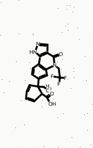 CCC1(c2ccc3c4[nH]ncc4c(=O)n(CC(F)(F)F)c3c2)C=CC=CC1C(=O)O